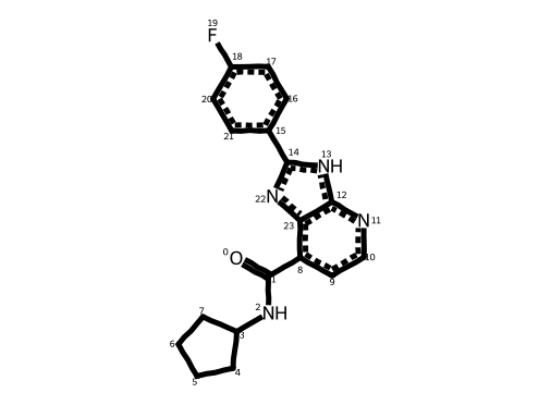 O=C(NC1CCCC1)c1ccnc2[nH]c(-c3ccc(F)cc3)nc12